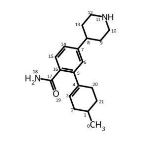 CC1CC=C(c2cc(C3CCNCC3)ccc2C(N)=O)CC1